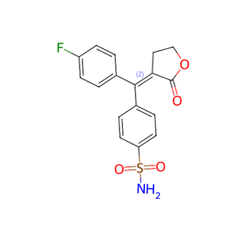 NS(=O)(=O)c1ccc(/C(=C2/CCOC2=O)c2ccc(F)cc2)cc1